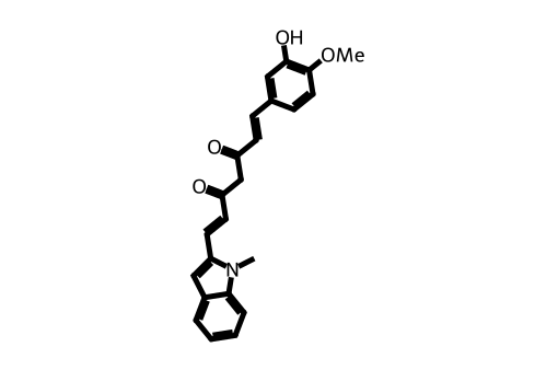 COc1ccc(C=CC(=O)CC(=O)C=Cc2cc3ccccc3n2C)cc1O